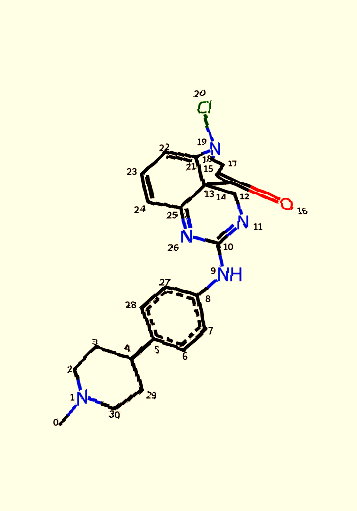 CN1CCC(c2ccc(NC3=NCC45CC(=O)CCN(Cl)C4=CC=CC5=N3)cc2)CC1